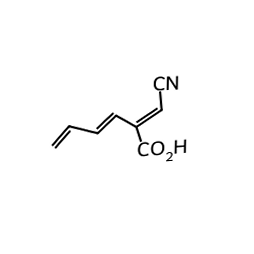 C=CC=CC(=CC#N)C(=O)O